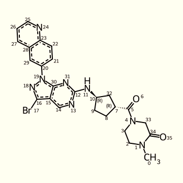 CN1CCN(C(=O)[C@@H]2CC[C@@H](Nc3ncc4c(Br)nn(-c5ccc6ncccc6c5)c4n3)C2)CC1=O